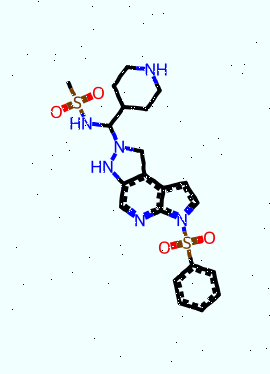 CS(=O)(=O)NC(C1CCNCC1)N1Cc2c(cnc3c2ccn3S(=O)(=O)c2ccccc2)N1